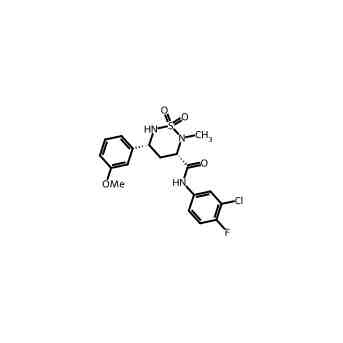 COc1cccc([C@H]2C[C@@H](C(=O)Nc3ccc(F)c(Cl)c3)N(C)S(=O)(=O)N2)c1